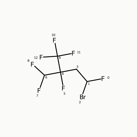 FC(Br)CC(F)(C(F)F)C(F)(F)F